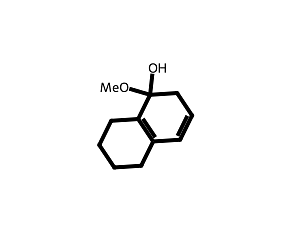 COC1(O)CC=CC2=C1CCCC2